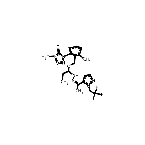 CCC(NN=C(C)c1ccnn1CC(F)(F)F)OCc1c(C)cccc1-n1nnn(C)c1=O